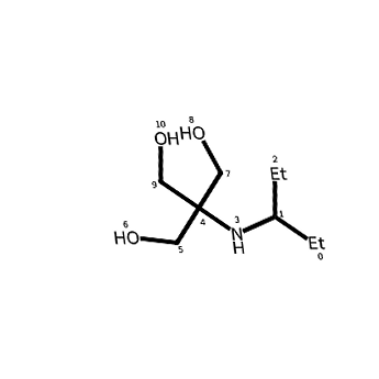 CCC(CC)NC(CO)(CO)CO